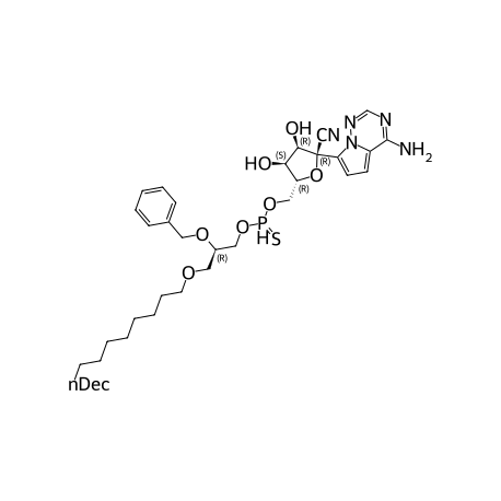 CCCCCCCCCCCCCCCCCCOC[C@H](CO[PH](=S)OC[C@H]1O[C@@](C#N)(c2ccc3c(N)ncnn23)[C@H](O)[C@@H]1O)OCc1ccccc1